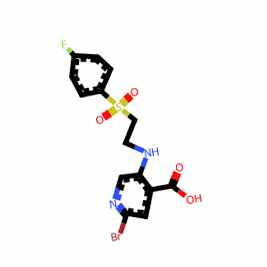 O=C(O)c1cc(Br)ncc1NCCS(=O)(=O)c1ccc(F)cc1